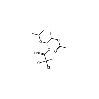 CC(=O)O[C@@H](C)[C@H](OC(=N)C(Cl)(Cl)Cl)OC(C)C